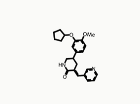 COc1ccc(C2CNC(=O)C(=Cc3cccnc3)C2)cc1OC1CCCC1